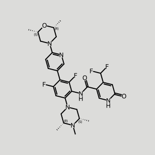 C[C@@H]1CN(c2ccc(-c3c(F)cc(N4C[C@@H](C)N(C)[C@@H](C)C4)c(NC(=O)c4c[nH]c(=O)cc4C(F)F)c3F)cn2)C[C@H](C)O1